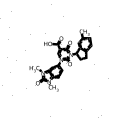 Cc1ccc2c(c1)C(n1c(=O)c(C(=O)O)cn(-c3ccc4c(c3)n(C)c(=O)n4C)c1=O)CC2